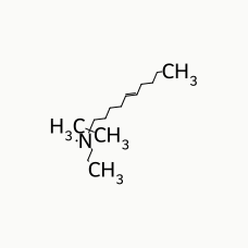 CCCC/C=C/CCCCC(C)(C)[N]CCC